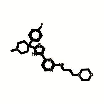 CN1CCC(c2ccc(F)cc2)(c2ncc(-c3ccnc(NCCCN4CCOCC4)n3)[nH]2)CC1